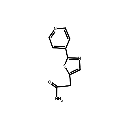 NC(=O)Cc1cnc(-c2ccncc2)s1